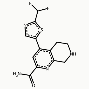 NC(=O)c1cc(-c2cnc(C(F)F)s2)c2c(n1)CNCC2